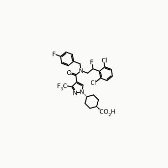 O=C(c1cn([C@H]2CC[C@H](C(=O)O)CC2)nc1C(F)(F)F)N(Cc1ccc(F)cc1)CC(F)c1c(Cl)cccc1Cl